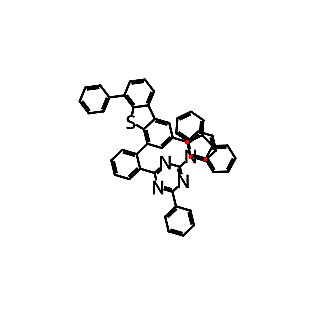 c1ccc(-c2cc(-c3ccccc3-c3nc(-c4ccccc4)nc(-n4c5ccccc5c5ccccc54)n3)c3sc4c(-c5ccccc5)cccc4c3c2)cc1